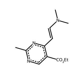 CCOC(=O)c1cnc(C)nc1C=CN(C)C